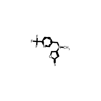 CN(Cc1ccc(C(F)(F)F)nc1)C1=CC(=S)OC1